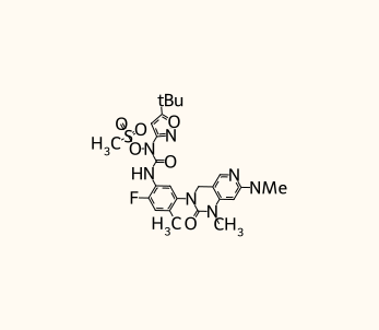 CNc1cc2c(cn1)CN(c1cc(NC(=O)N(OS(C)(=O)=O)c3cc(C(C)(C)C)on3)c(F)cc1C)C(=O)N2C